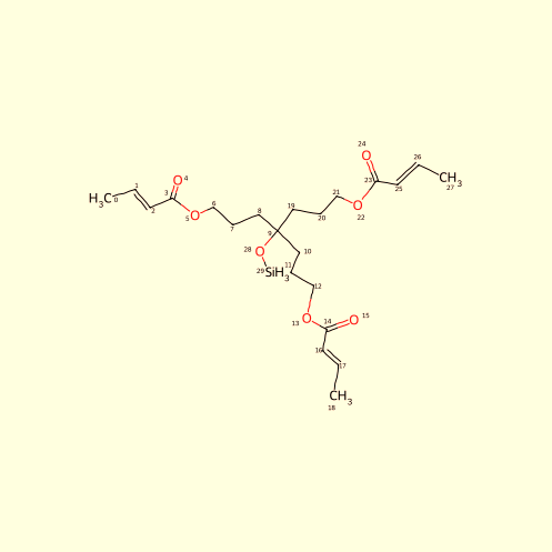 CC=CC(=O)OCCCC(CCCOC(=O)C=CC)(CCCOC(=O)C=CC)O[SiH3]